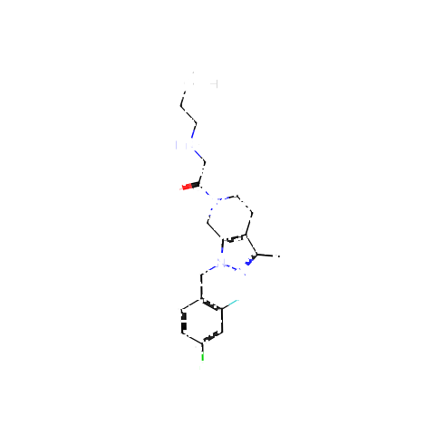 Cc1nn(Cc2ccc(Cl)cc2F)c2c1CCN(C(=O)CNCCC(=O)O)C2